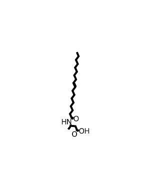 CCCCCCCCC=CCCCCCCCC(=O)NC(C)CC(=O)O